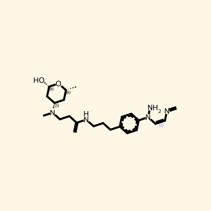 C=N/C=C\N(N)c1ccc(CCCNC(=C)CCN(C)[C@H]2C[C@@H](C)O[C@@H](O)C2)cc1